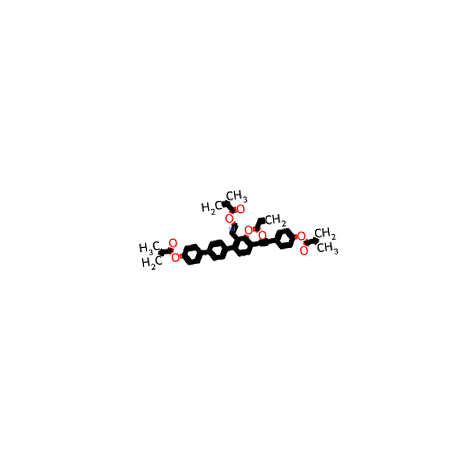 C=CC(=O)Oc1c(C#Cc2ccc(OC(=O)C(=C)C)cc2)ccc(-c2ccc(-c3ccc(OC(=O)C(=C)C)cc3)cc2)c1/C=C/OC(=O)C(=C)C